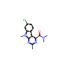 Cc1nc(C(=O)N(C)C)c2c3ccc(Cl)cc3n(C)c2n1